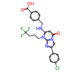 O=C(O)c1ccc(CNc2cc(=O)n3cc(-c4ccc(Cl)cc4)nc3n2CCCC(F)(F)F)cc1